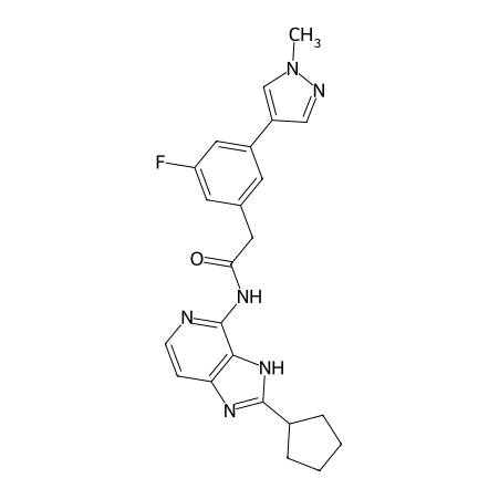 Cn1cc(-c2cc(F)cc(CC(=O)Nc3nccc4nc(C5CCCC5)[nH]c34)c2)cn1